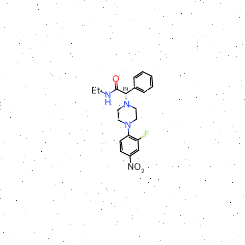 CCNC(=O)[C@H](c1ccccc1)N1CCN(c2ccc([N+](=O)[O-])cc2F)CC1